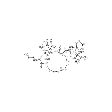 C=CCNC(=O)C(=O)[C@@H]1CCCCCCCCC[C@H](NC(=O)NC2(CS(=O)(=O)C(=C)C)CCCCC2)C(=O)N2C[C@H]3[C@@H]([C@H]2C(=O)N1)C3(C)C